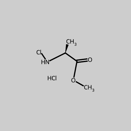 COC(=O)[C@H](C)NCl.Cl